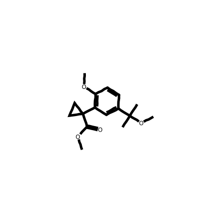 COC(=O)C1(c2cc(C(C)(C)OC)ccc2OC)CC1